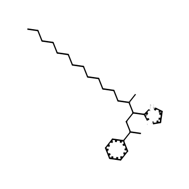 CCCCCCCCCCCCCC(C)C(CC(C)c1ccccc1)c1ncco1